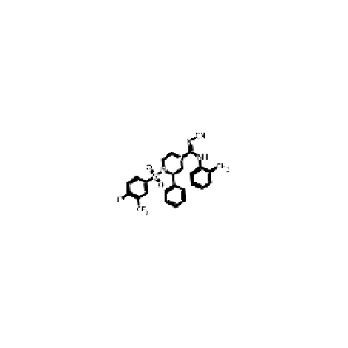 Cc1ccccc1N/C(=N\C#N)N1CCN(S(=O)(=O)c2ccc(F)c(C(F)(F)F)c2)C(c2ccccc2)C1